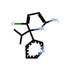 CC(C)C1(c2cccnc2)NC(N)=CC=C1Cl